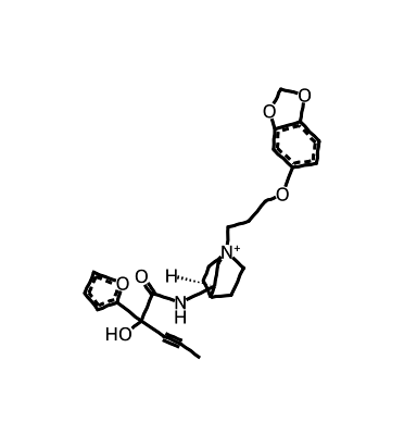 CC#CC(O)(C(=O)N[C@H]1C[N+]2(CCCOc3ccc4c(c3)OCO4)CCC1CC2)c1ccco1